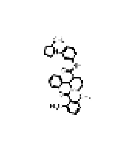 Cc1cccc(C)c1C(=O)N1CCC[C@H](C(=O)Nc2cccc(N3CCCC3C)c2)C1c1ccccc1